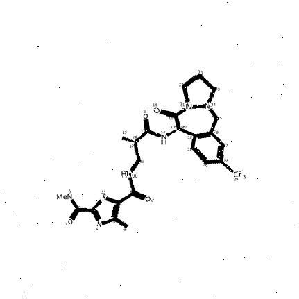 CNC(=O)c1nc(C)c(C(=O)NC[C@@H](C)C(=O)N[C@H]2C(=O)N3CCCN3Cc3cc(C(F)(F)F)ccc32)s1